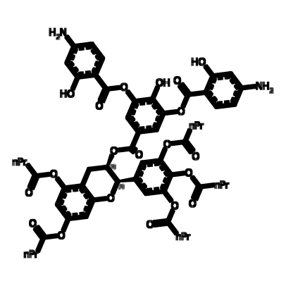 CCCC(=O)Oc1cc(OC(=O)CCC)c2c(c1)O[C@H](c1cc(OC(=O)CCC)c(OC(=O)CCC)c(OC(=O)CCC)c1)[C@H](OC(=O)c1cc(OC(=O)c3ccc(N)cc3O)c(O)c(OC(=O)c3ccc(N)cc3O)c1)C2